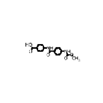 COC(=O)Nc1ccc(C(=O)Nc2ccc(C(=O)O)cc2)cc1